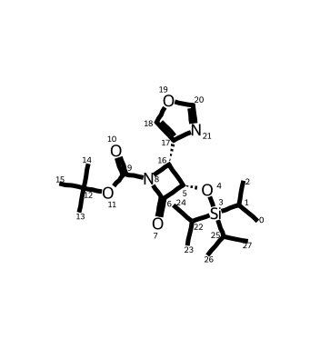 CC(C)[Si](O[C@@H]1C(=O)N(C(=O)OC(C)(C)C)[C@@H]1c1cocn1)(C(C)C)C(C)C